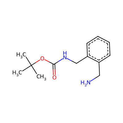 CC(C)(C)OC(=O)NCc1ccccc1CN